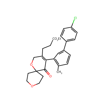 CCOC(=O)CCC1=C(c2cc(-c3ccc(Cl)cc3)ccc2C)C(=O)C2(CCOCC2)OC1